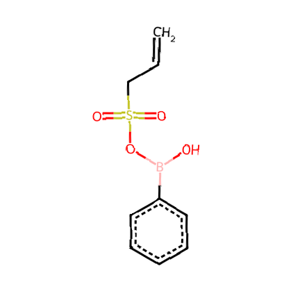 C=CCS(=O)(=O)OB(O)c1ccccc1